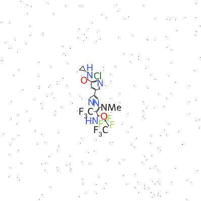 CN/C(=C(\C(=N)OC(F)(F)C(F)C(F)(F)F)C(F)(F)F)n1cc(-c2cnc(Cl)c(C(=O)NC3CC3)c2)cn1